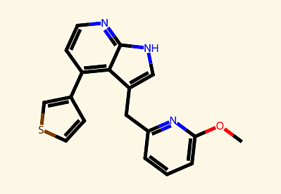 COc1cccc(Cc2c[nH]c3nccc(-c4ccsc4)c23)n1